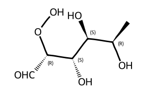 C[C@@H](O)[C@H](O)[C@H](O)[C@H](C=O)OO